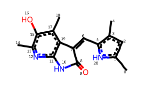 Cc1cc(C)c(C=C2C(=O)Nc3nc(C)c(O)c(C)c32)[nH]1